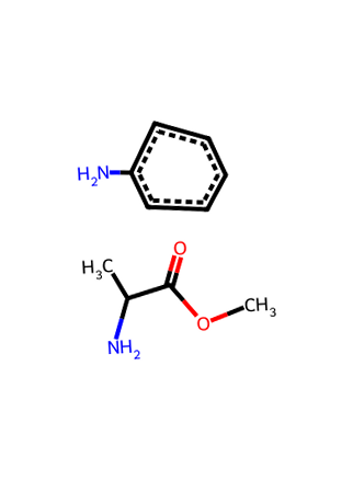 COC(=O)C(C)N.Nc1ccccc1